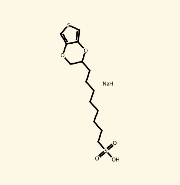 O=S(=O)(O)CCCCCCCCC1COc2cscc2O1.[NaH]